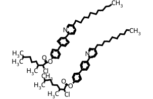 CCCCCCCCCCCc1ccc(-c2ccc(-c3ccc(OC(=O)C(Cl)C(C)CCCC(C)C)cc3)cc2)nc1.CCCCCCCCCCc1ccc(-c2ccc(-c3ccc(OC(=O)C(Cl)C(C)CCCC(C)C)cc3)cc2)nc1